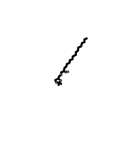 CCCCCCCCCCCCCCCCC(O)COCC1COC(C)(C)O1